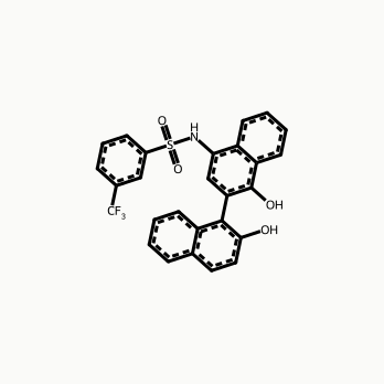 O=S(=O)(Nc1cc(-c2c(O)ccc3ccccc23)c(O)c2ccccc12)c1cccc(C(F)(F)F)c1